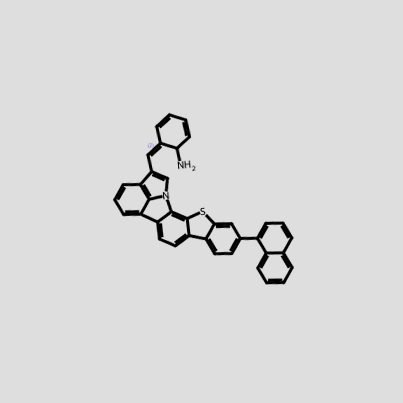 NC1C=CC=C/C1=C/c1cn2c3c1cccc3c1ccc3c4ccc(-c5cccc6ccccc56)cc4sc3c12